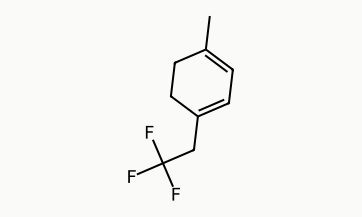 CC1=CC=C(CC(F)(F)F)CC1